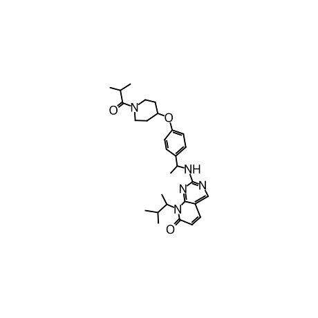 CC(C)C(=O)N1CCC(Oc2ccc(C(C)Nc3ncc4ccc(=O)n(C(C)C(C)C)c4n3)cc2)CC1